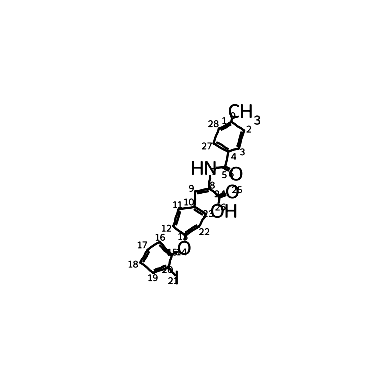 Cc1ccc(C(=O)NC(=Cc2ccc(Oc3ccccc3I)cc2)C(=O)O)cc1